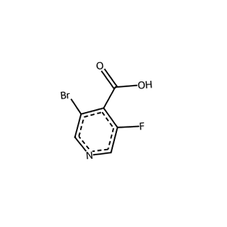 O=C(O)c1c(F)cncc1Br